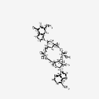 Nc1nc2c(nnn2[C@@H]2O[C@@H]3COP(=O)(O)O[C@H]4[C@@H](F)[C@H](n5cnc6c(N)ncnc65)O[C@@H]4CNS(=O)(=O)O[C@@H]2C3)c(=O)[nH]1